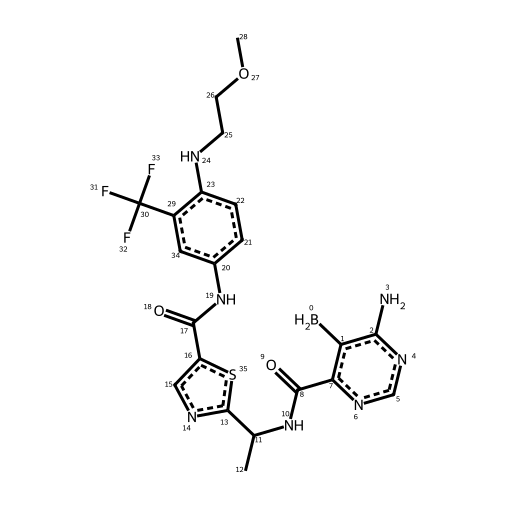 Bc1c(N)ncnc1C(=O)NC(C)c1ncc(C(=O)Nc2ccc(NCCOC)c(C(F)(F)F)c2)s1